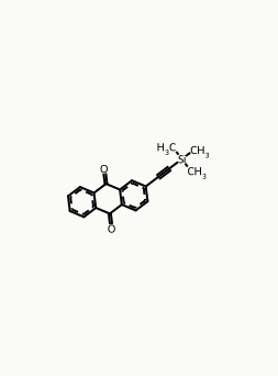 C[Si](C)(C)C#Cc1ccc2c(c1)C(=O)c1ccccc1C2=O